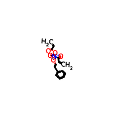 C=CC(=O)O[N+]([O-])(OC=Cc1ccccc1)C(=O)C=C